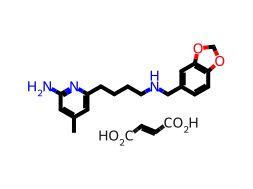 Cc1cc(N)nc(CCCCNCc2ccc3c(c2)OCO3)c1.O=C(O)C=CC(=O)O